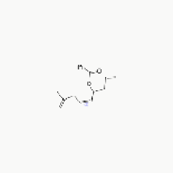 C=CCC(/C=C\CC(=C)C)OC(=O)C(C)C